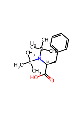 C[Si](C)(C)N([C@@H](Cc1ccccc1)C(=O)O)[Si](C)(C)C